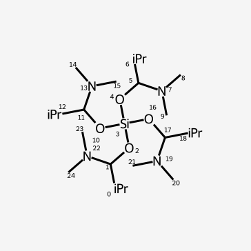 CC(C)C(O[Si](OC(C(C)C)N(C)C)(OC(C(C)C)N(C)C)OC(C(C)C)N(C)C)N(C)C